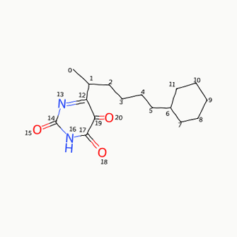 CC(CCCCC1CCCCC1)C1=NC(=O)NC(=O)C1=O